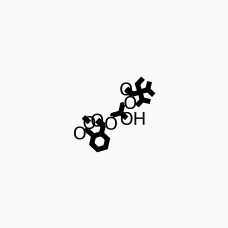 CCC(C(=O)OCC(O)COC(=O)C1CCCCC1C(=O)OC)(C(C)C)C(C)C